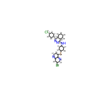 Clc1ccc(-c2nnc(Nc3ccc(Sc4ccnc5cc(Br)cnc45)cc3)c3ccccc23)cc1